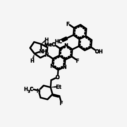 C#Cc1c(F)ccc2cc(O)cc(-c3nc(OC)c4c(N5C[C@H]6CC[C@@H](C5)N6)nc(OC[C@]5(CC)CN(C)CC/C5=C\F)nc4c3F)c12